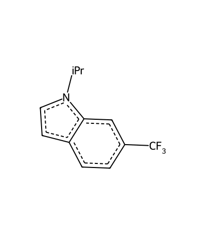 CC(C)n1ccc2ccc(C(F)(F)F)cc21